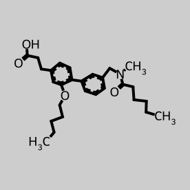 CCCCCOc1cc(CCC(=O)O)ccc1-c1cccc(CN(C)C(=O)CCCCC)c1